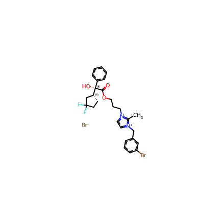 Cc1n(CCCOC(=O)[C@](O)(c2ccccc2)[C@@H]2CCC(F)(F)C2)cc[n+]1Cc1cccc(Br)c1.[Br-]